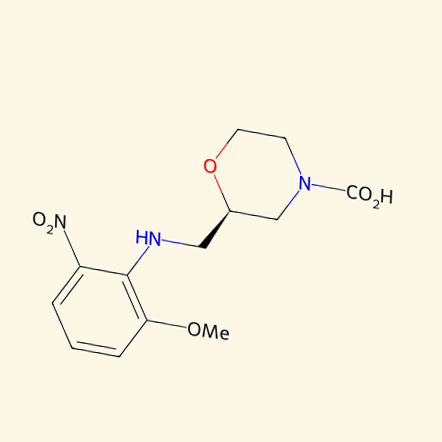 COc1cccc([N+](=O)[O-])c1NC[C@@H]1CN(C(=O)O)CCO1